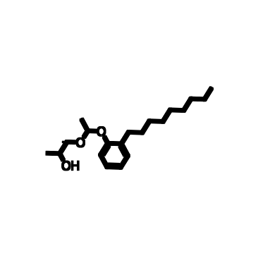 CCCCCCCCCc1ccccc1OC(C)O[CH]C(C)O